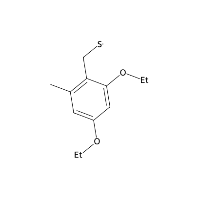 CCOc1cc(C)c(C[S])c(OCC)c1